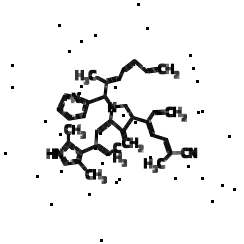 C=C/C=C\C=C(/C)C(c1ccccn1)N1CC(/C(C=C)=C/C=C(\C)C#N)C(=C)/C1=C\C(=C/C)c1c(C)c[nH]c1C